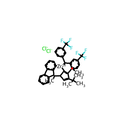 CCC1=[C]([Zr+2](=[C](c2cccc(C(F)(F)F)c2)c2cccc(C(F)(F)F)c2)[c]2cccc3c2Cc2ccccc2-3)C(CC)C=C1C(C)(C)C.[Cl-].[Cl-]